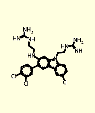 N=C(N)NCCNc1cc2c(cc1-c1ccc(Cl)c(Cl)c1)c1cc(Cl)ccc1n2CCNC(=N)N